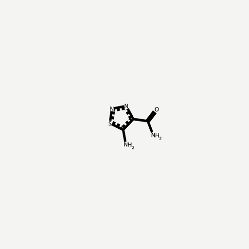 NC(=O)c1nnsc1N